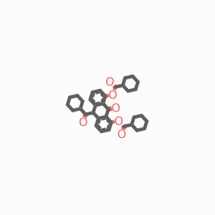 O=C1c2c(OC(=O)C3CCCCC3)cccc2C(C(=O)C2CCCCC2)c2cccc(OC(=O)C3CCCCC3)c21